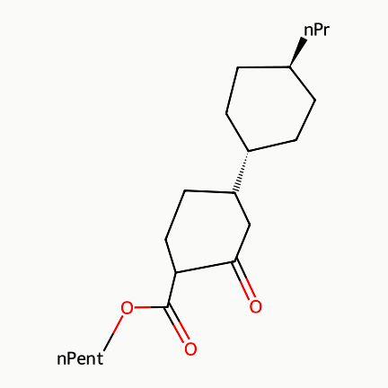 CCCCCOC(=O)C1CCC([C@H]2CC[C@H](CCC)CC2)CC1=O